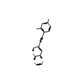 Fc1ccc(C#Cc2cnc3nccnc3c2)c(F)c1